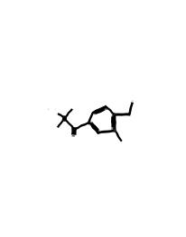 Cc1cc(C(=O)C(C)(C)O)ccc1CO